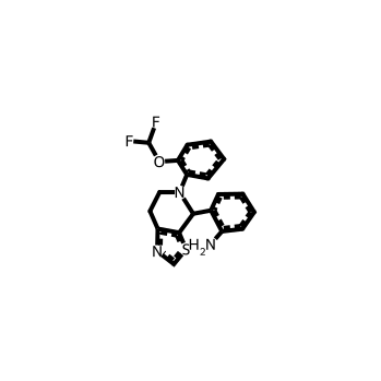 Nc1ccccc1C1c2scnc2CCN1c1ccccc1OC(F)F